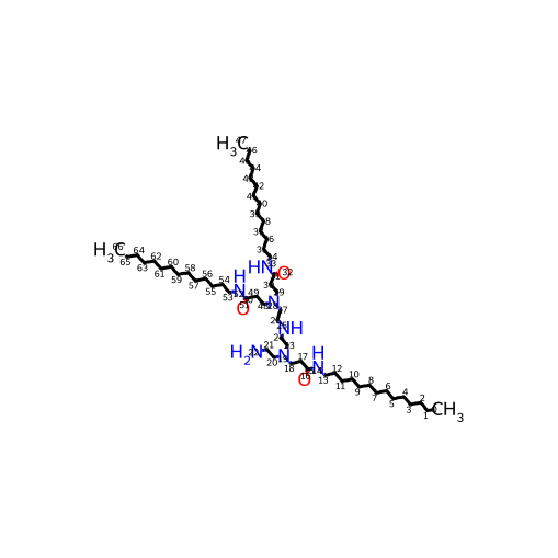 CCCCCCCCCCCCCCNC(=O)CCN(CCN)CCNCCN(CCC(=O)NCCCCCCCCCCCCCC)CCC(=O)NCCCCCCCCCCCCCC